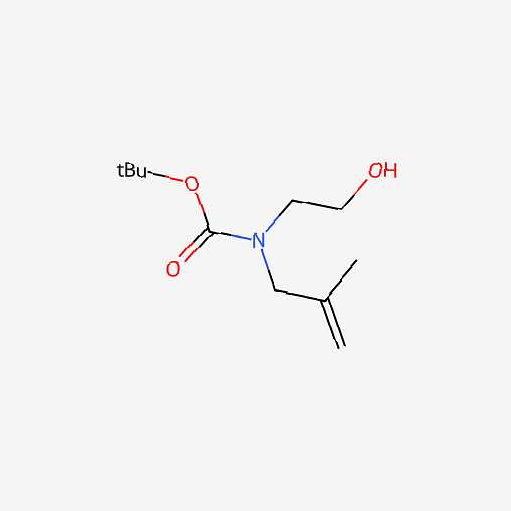 C=C(C)CN(CCO)C(=O)OC(C)(C)C